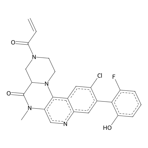 C=CC(=O)N1CCN2c3c(cnc4cc(-c5c(O)cccc5F)c(Cl)cc34)N(C)C(=O)C2C1